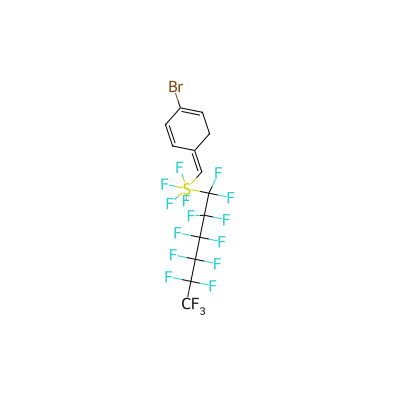 FC(F)(F)C(F)(F)C(F)(F)C(F)(F)C(F)(F)C(F)(F)S(F)(F)(F)(F)C=C1C=CC(Br)=CC1